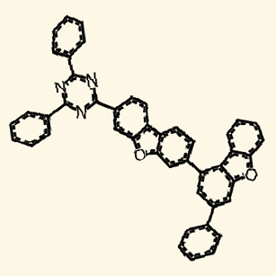 c1ccc(-c2cc(-c3ccc4c(c3)oc3cc(-c5nc(-c6ccccc6)nc(-c6ccccc6)n5)ccc34)c3c(c2)oc2ccccc23)cc1